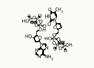 Cc1cn([C@H]2CC[C@@H](COP(=O)(O)OP(=O)(O)OP(=O)(O)O)O2)c(=O)[nH]c1=O.Nc1ncnc2c1ncn2[C@H]1C[C@H](O)[C@@H](COP(=O)(O)OP(=O)(O)OP(=O)(O)O)O1